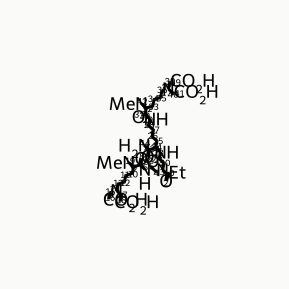 CCC(=O)N(CCNC(=O)C(CCCCN(CC(=O)O)CC(=O)O)NC)CC(=O)NC(CCCCNC(=O)C(CCCCN(CC(=O)O)CC(=O)O)NC)C(N)=O